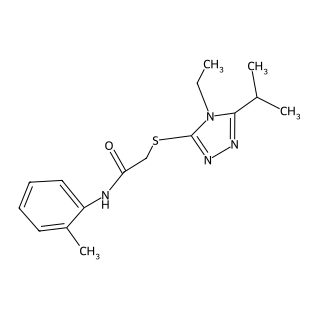 CCn1c(SCC(=O)Nc2ccccc2C)nnc1C(C)C